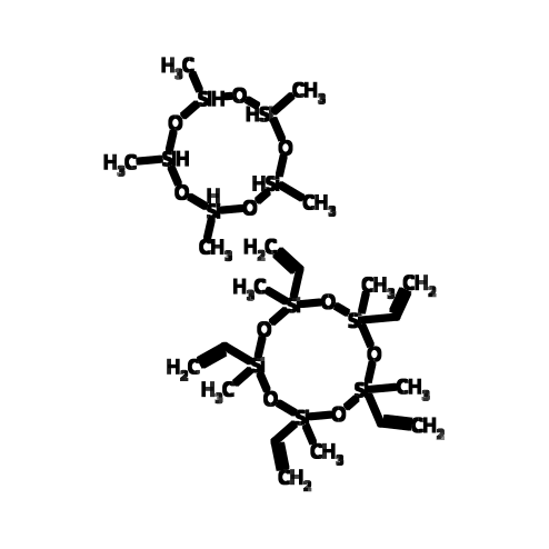 C=C[Si]1(C)O[Si](C)(C=C)O[Si](C)(C=C)O[Si](C)(C=C)O[Si](C)(C=C)O1.C[SiH]1O[SiH](C)O[SiH](C)O[SiH](C)O[SiH](C)O1